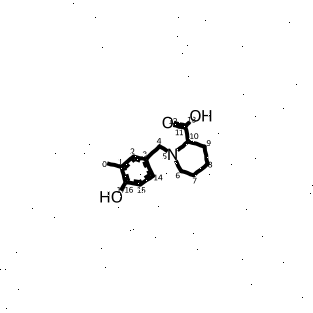 Cc1cc(CN2CCCCC2C(=O)O)ccc1O